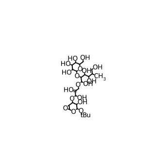 CC(CO)C(O)C(O)C(OC1OC(CO)C(O)C(O)C1O)C(O)OC[C@@H](O)C(O)OC1C(O)C(OC(C)(C)C)OC2OC21